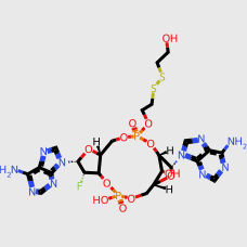 Nc1ncnc2c1ncn2[C@@H]1O[C@@H]2COP(=O)(OCCSSCCO)O[C@H]3C(O)[C@@H](COP(=O)(O)OC2[C@@H]1F)O[C@H]3n1cnc2c(N)ncnc21